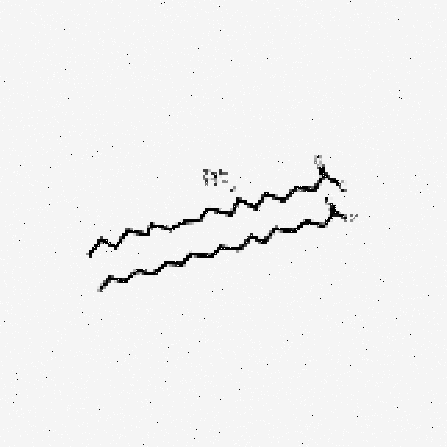 CCCCCCCCCCCCCCCCCC(=O)[O-].CCCCCCCCCCCCCCCCCC(=O)[O-].[CaH2].[Zn+2]